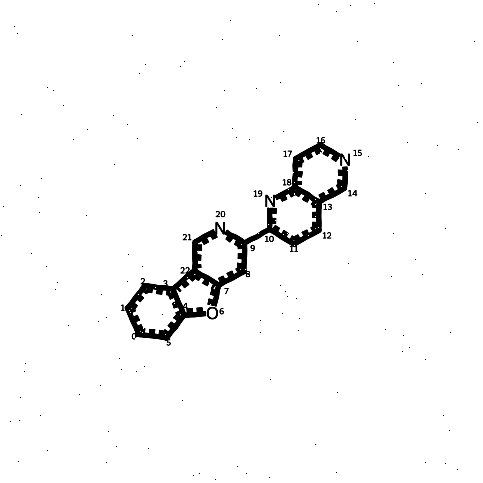 c1ccc2c(c1)oc1cc(-c3ccc4cnccc4n3)ncc12